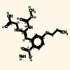 CCCSc1ccc([N+](=O)[O-])c(/N=C(/NCC(=O)O)NC(=O)OC)c1.[NaH]